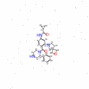 O=C(Nc1ccc(C(=O)N2CCNCC2c2ccccc2)c(N2CCC3(COC3)C2)c1)C1CC1